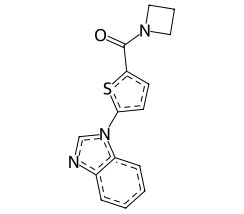 O=C(c1ccc(-n2cnc3ccccc32)s1)N1CCC1